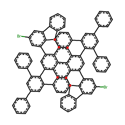 Brc1cc2c3c(c1)-c1cc(-c4c(-c5ccccc5)cc(-c5ccccc5)cc4-c4ccccc4)c4cc5c6c(cc(-c7c(-c8ccccc8)cc(-c8ccccc8)cc7-c7ccccc7)c7cc(c1c4c76)B3c1ccccc1-2)-c1cc(Br)cc2c1B5c1ccccc1-2